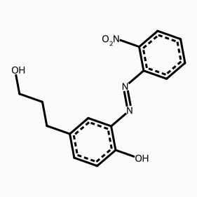 O=[N+]([O-])c1ccccc1N=Nc1cc(CCCO)ccc1O